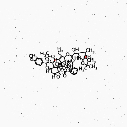 COc1ccc(C2O[C@H]3C[C@H]4OC[C@@]4(OC(C)=O)[C@H]4[C@H](OC(=O)c5ccccc5)[C@]5(C(C)(C)O)C[C@H](OC(=O)[C@H](O)[C@H](CC(C)C)NC(=O)OC(C)(C)C)C(C)=C5[C@H](OC(C)=O)[C@H](O2)[C@]34C)cc1